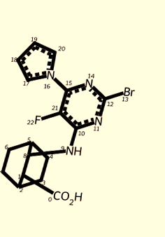 O=C(O)C1C2CCC(CC2)C1Nc1nc(Br)nc(-n2cccc2)c1F